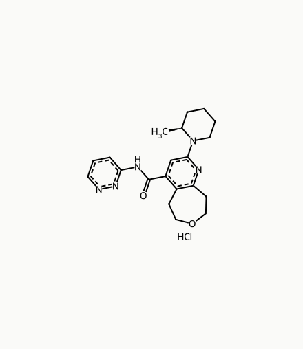 C[C@H]1CCCCN1c1cc(C(=O)Nc2cccnn2)c2c(n1)CCOCC2.Cl